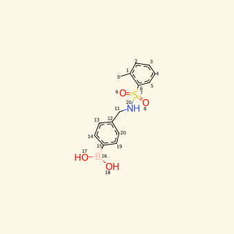 Cc1ccccc1S(=O)(=O)NCc1ccc(B(O)O)cc1